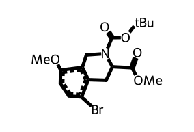 COC(=O)C1Cc2c(Br)ccc(OC)c2CN1C(=O)OC(C)(C)C